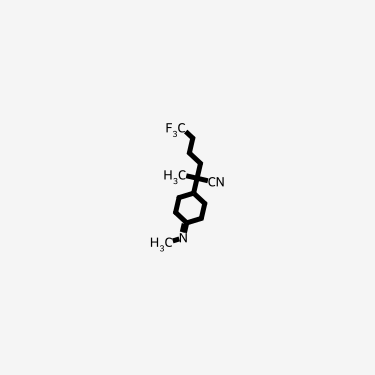 CN=C1CCC(C(C)(C#N)CCCC(F)(F)F)CC1